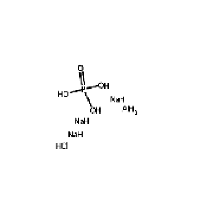 Cl.O=P(O)(O)O.[AlH3].[NaH].[NaH].[NaH]